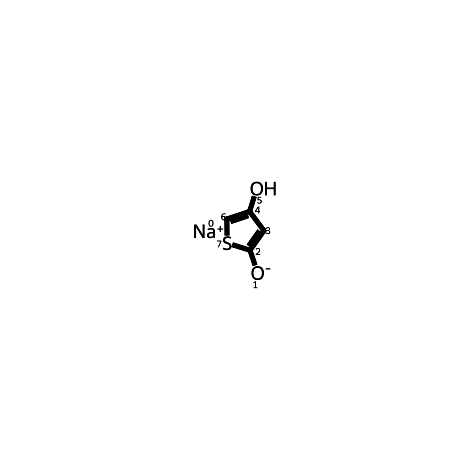 [Na+].[O-]c1cc(O)cs1